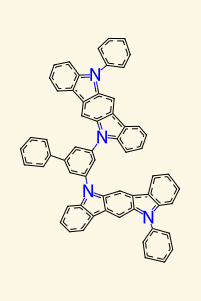 c1ccc(-c2cc(-n3c4ccccc4c4cc5c(cc43)c3ccccc3n5-c3ccccc3)cc(-n3c4ccccc4c4cc5c(cc43)c3ccccc3n5-c3ccccc3)c2)cc1